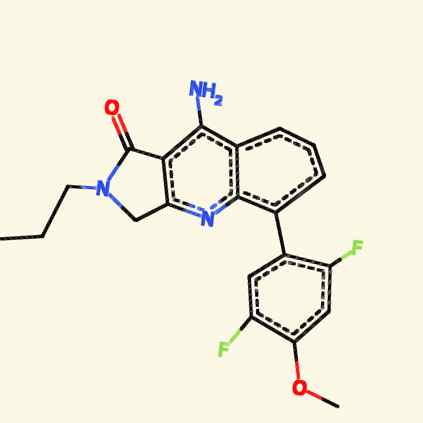 CCCN1Cc2nc3c(-c4cc(F)c(OC)cc4F)cccc3c(N)c2C1=O